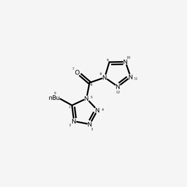 CCCCc1nnnn1C(=O)n1cnnn1